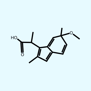 COC1(C)C=CC2=CC(C)=C(C(C)C(=O)O)C2=C1